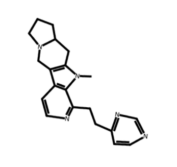 Cn1c2c(c3ccnc(CCc4ccncn4)c31)CN1CCCC1C2